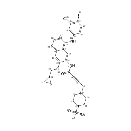 CS(=O)(=O)N1CCN(CC#CC(=O)Nc2cc3c(Nc4ccc(F)c(Cl)c4)ncnc3cc2OCC2CC2)CC1